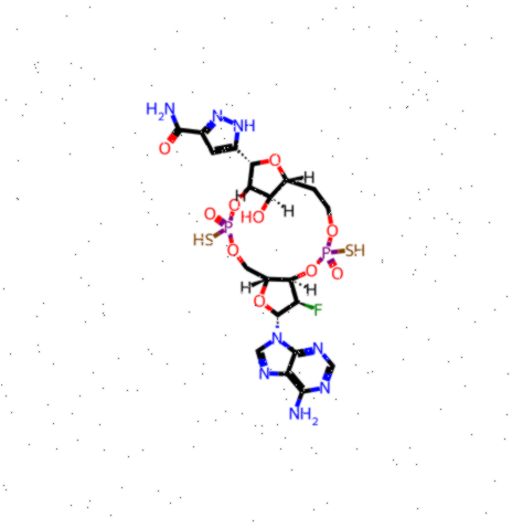 NC(=O)c1cc([C@@H]2O[C@@H]3CCOP(=O)(S)O[C@H]4[C@@H](F)[C@H](n5cnc6c(N)ncnc65)O[C@@H]4COP(=O)(S)O[C@@H]2[C@@H]3O)[nH]n1